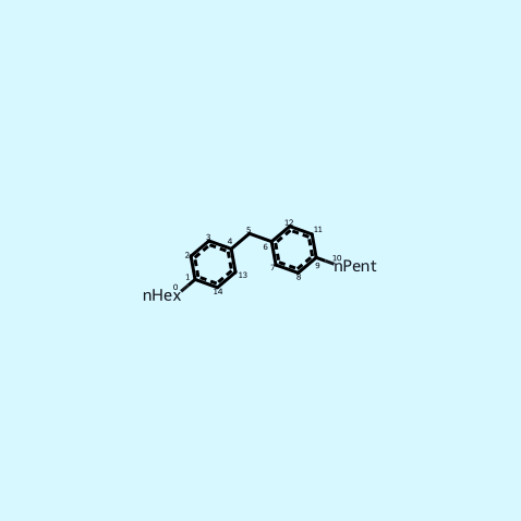 CCCCCCc1ccc(Cc2ccc(CCCCC)cc2)cc1